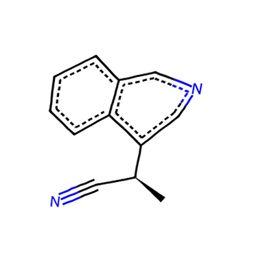 C[C@@H](C#N)c1cncc2ccccc12